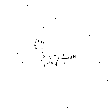 CC1CC(c2ccccc2)n2nc(C(C)(C)C#N)nc21